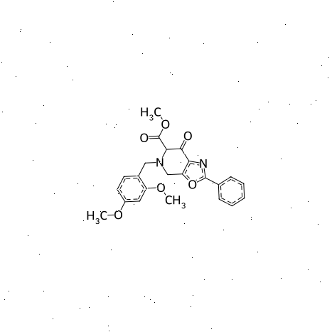 COC(=O)C1C(=O)c2nc(-c3ccccc3)oc2CN1Cc1ccc(OC)cc1OC